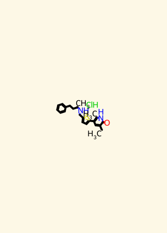 CCc1cc(-c2ccc(CNC(C)CCc3ccccc3)s2)c(C)[nH]c1=O.Cl